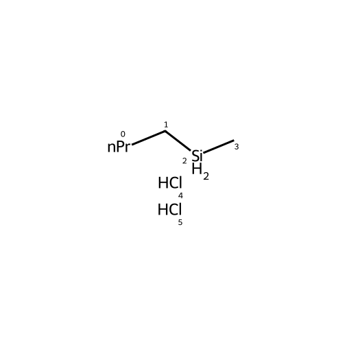 CCCC[SiH2]C.Cl.Cl